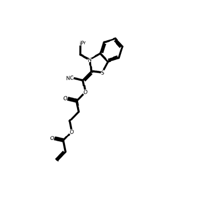 C=CC(=O)OCCC(=O)O/C(C#N)=C1\Sc2ccccc2N1CC(C)C